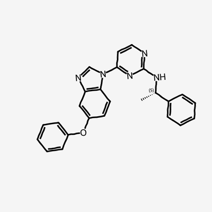 C[C@H](Nc1nccc(-n2cnc3cc(Oc4ccccc4)ccc32)n1)c1ccccc1